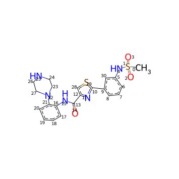 CS(=O)(=O)Nc1cccc(-c2nc(C(=O)Nc3ccccc3N3CCNCC3)cs2)c1